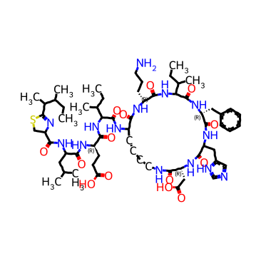 CCC(C)C(C)C1=NC(C(=O)NC(CC(C)C)C(=O)N[C@H](CCC(=O)O)C(=O)NC(C(=O)NC2CCCCNC(=O)[C@@H](CC(=O)O)NC(=O)C(Cc3cnc[nH]3)NC(=O)[C@@H](Cc3ccccc3)NC(=O)C(C(C)CC)NC(=O)[C@@H](CCCN)NC2=O)C(C)CC)CS1